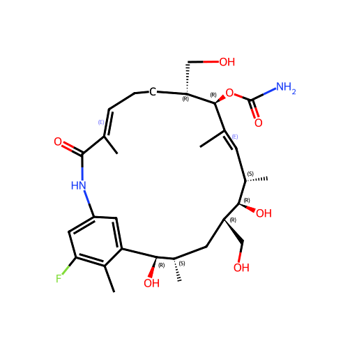 C/C1=C\CC[C@H](CO)[C@@H](OC(N)=O)/C(C)=C/[C@H](C)[C@@H](O)[C@@H](CO)C[C@H](C)[C@@H](O)c2cc(cc(F)c2C)NC1=O